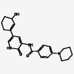 O=C(Nc1cc(C2=CC(O)CCC2)c[nH]c1=O)c1ccc(N2CCCCC2)cc1